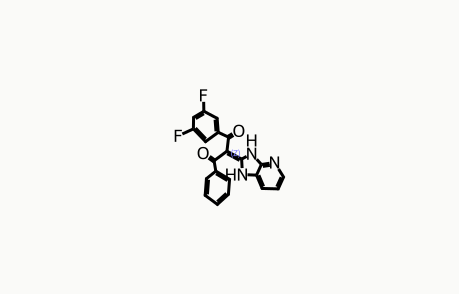 O=C(/C(C(=O)c1cc(F)cc(F)c1)=C1\Nc2cccnc2N1)c1ccccc1